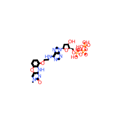 Cn1cc2c(nc1=O)Nc1c(OCCNc3ncnc4c3ncn4[C@H]3C[C@@H](O)[C@@H](COP(=O)(O)OP(=O)(O)OP(=O)(O)O)O3)cccc1O2